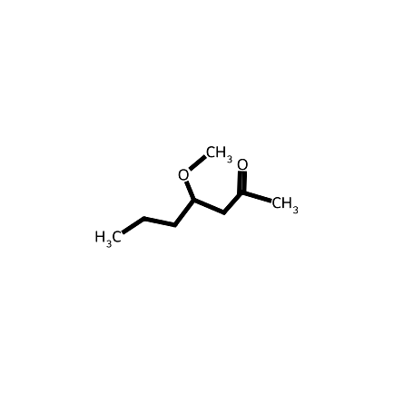 CCCC(CC(C)=O)OC